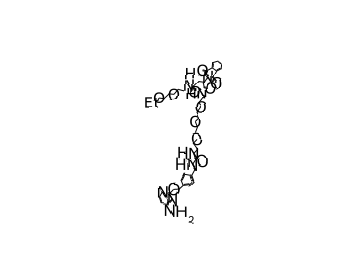 CCOCCOCCNC(=O)CC(C(=O)NCCOCCOCCOCCNC(=O)NCc1ccc(COc2nccc(N)n2)cc1)N1C(=O)c2ccccc2C1=O